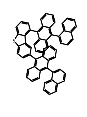 c1ccc2c(-c3c4ccccc4c(-c4ccc5sc6cccc(-c7c8ccccc8c(-c8cccc9ccccc89)c8ccccc78)c6c5c4)c4ccccc34)cccc2c1